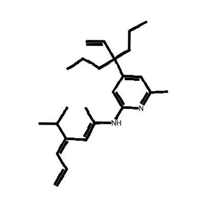 C=C/C=C(\C=C(/C)Nc1cc(C(C=C)(CCC)CCC)cc(C)n1)C(C)C